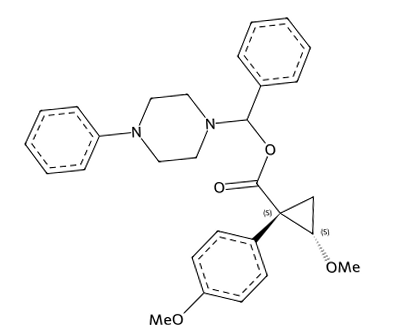 COc1ccc([C@@]2(C(=O)OC(c3ccccc3)N3CCN(c4ccccc4)CC3)C[C@@H]2OC)cc1